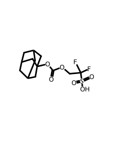 O=C(OCC(F)(F)S(=O)(=O)O)OC12CC3CC(CC(C3)C1)C2